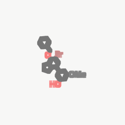 COc1cc(O)cc(-c2cc(Br)c(OCc3ccccc3)c3c2CCC3)c1